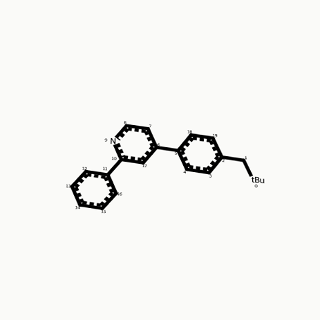 CC(C)(C)Cc1ccc(-c2ccnc(-c3ccccc3)c2)cc1